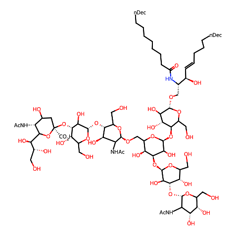 CCCCCCCCCCCCC/C=C/[C@@H](O)[C@H](CO[C@@H]1OC(CO)[C@@H](O[C@@H]2OC(CO[C@@H]3OC(CO)[C@@H](O[C@@H]4OC(CO)[C@H](O)[C@H](O[C@]5(C(=O)O)CC(O)[C@@H](NC(C)=O)C([C@H](O)[C@H](O)CO)O5)C4O)[C@H](O)C3NC(C)=O)[C@H](O)[C@H](O[C@H]3OC(CO)[C@H](O)[C@H](O[C@@H]4OC(CO)[C@H](O)[C@H](O)C4NC(C)=O)C3O)C2O)[C@H](O)C1O)NC(=O)CCCCCCCCCCCCCCCCC